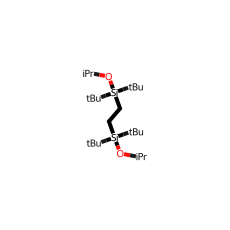 CC(C)O[Si](CC[Si](OC(C)C)(C(C)(C)C)C(C)(C)C)(C(C)(C)C)C(C)(C)C